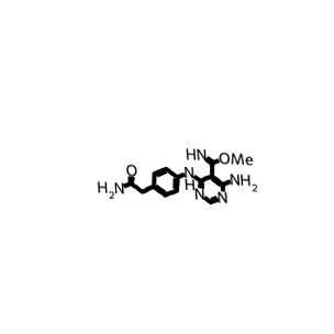 COC(=N)c1c(N)ncnc1Nc1ccc(CC(N)=O)cc1